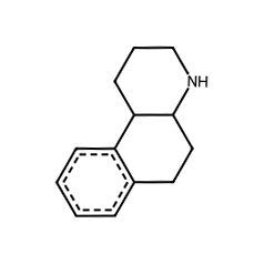 c1ccc2c(c1)CCC1NCCCC21